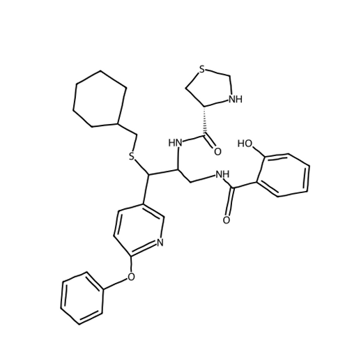 O=C(NCC(NC(=O)[C@@H]1CSCN1)C(SCC1CCCCC1)c1ccc(Oc2ccccc2)nc1)c1ccccc1O